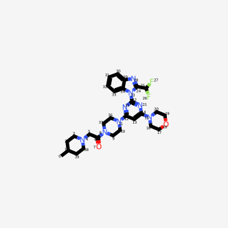 CC1CCN(CC(=O)N2CCN(c3cc(N4CCOCC4)nc(-n4c(C(F)F)nc5ccccc54)n3)CC2)CC1